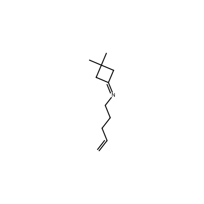 C=CCCCN=C1CC(C)(C)C1